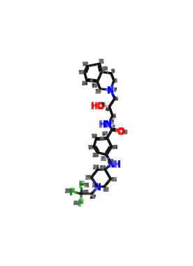 O=C(NC[C@H](O)CN1CCc2ccccc2C1)c1cccc(NC2CCN(CC(F)(F)F)CC2)c1